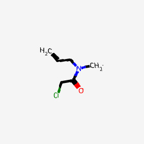 [CH2]N(CC=C)C(=O)CCl